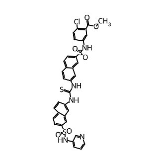 COC(=O)c1cc(NS(=O)(=O)c2ccc3ccc(NC(=S)Nc4ccc5ccc(S(=O)(=O)Nc6cccnc6)cc5c4)cc3c2)ccc1Cl